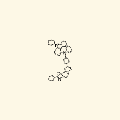 c1ccc(-c2nc3ccc4ccc(-c5ccc(N(c6ccccc6)c6cccc7c6c6ccccc6n7-c6ccccc6)cc5)cc4c3o2)cc1